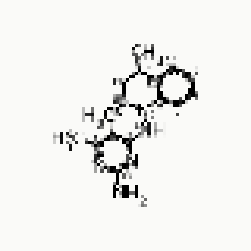 Cc1cc(NN2c3ccccc3C(C)CC2C)nc(N)n1